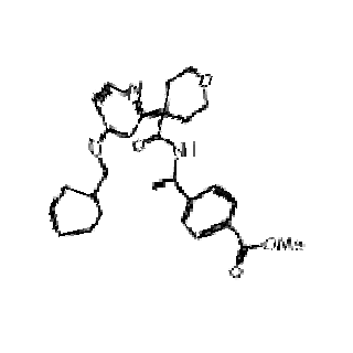 COC(=O)c1ccc(C(C)NC(=O)C2(c3cc(OCC4CCCCC4)ccn3)CCOCC2)cc1